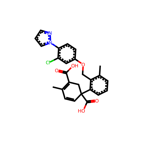 CC1=C(C(=O)O)CC(C(=O)O)(c2cccc(C)c2COc2ccc(-n3cccn3)c(Cl)c2)C=C1